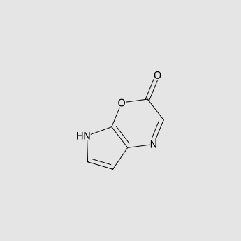 O=c1cnc2cc[nH]c2o1